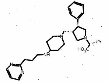 CC(C)[C@H](C(=O)O)N1C[C@H](CN2CCC(NCCCc3ncccn3)CC2)[C@@H](c2ccccc2)C1